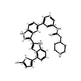 O=C(CC1CCNCC1)Nc1cncc(-c2ccc3[nH]nc(-c4cc5c(-c6ccc(F)s6)cccc5[nH]4)c3n2)c1